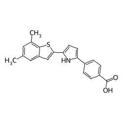 Cc1cc(C)c2sc(-c3ccc(-c4ccc(C(=O)O)cc4)[nH]3)cc2c1